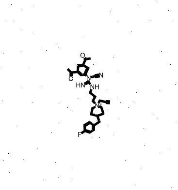 C#CC[N+]1(CCCNC(=N)N(C#N)c2cc(C(C)=O)cc(C(C)=O)c2)CCC(Cc2ccc(F)cc2)CC1